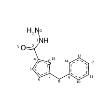 NNC(=O)c1ccc(Cc2ccccc2)s1